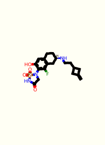 C=C1CC(CCN[C@@H]2CCc3cc(O)c(N4CC(=O)NS4(=O)=O)c(F)c3C2)C1